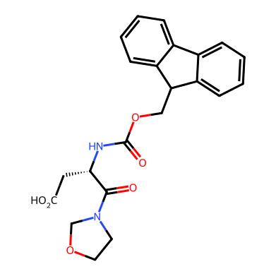 O=C(O)C[C@H](NC(=O)OCC1c2ccccc2-c2ccccc21)C(=O)N1CCOC1